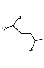 CC(N)CCC(N)Cl